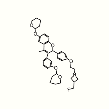 CC1=C(c2cccc(OC3CCCCO3)c2)C(c2ccc(OCCN3CC(CF)C3)cc2)Oc2ccc(OC3CCCCO3)cc21